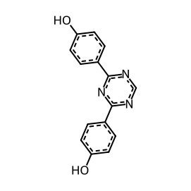 Oc1ccc(-c2ncnc(-c3ccc(O)cc3)n2)cc1